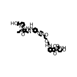 C=CCn1c(=O)c2cnc(Nc3ccc(N4CCN(C(=O)CCOCCNc5cccc6c5C(=O)N(C5CCC(=O)NC5=O)C6=O)CC4)cc3)nc2n1-c1cccc(C(C)(C)O)n1